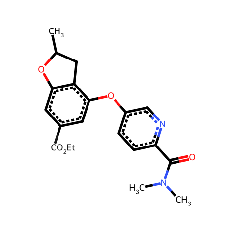 CCOC(=O)c1cc(Oc2ccc(C(=O)N(C)C)nc2)c2c(c1)OC(C)C2